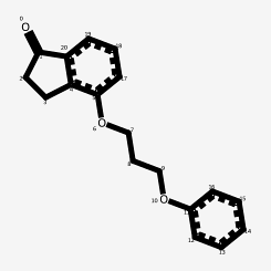 O=C1CCc2c(OCCCOc3ccccc3)cccc21